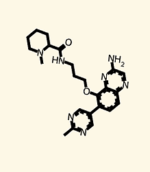 Cc1ncc(-c2ccc3ncc(N)nc3c2OCCCNC(=O)C2CCCCN2C)cn1